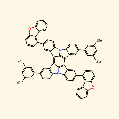 CC(C)(C)c1cc(-c2ccc3c(c2)c2c4c5cc(-c6cccc7oc8ccccc8c67)ccc5n5c6ccc(-c7cc(C(C)(C)C)cc(C(C)(C)C)c7)cc6c(c6c7cc(-c8cccc9oc%10ccccc%10c89)ccc7n3c26)c45)cc(C(C)(C)C)c1